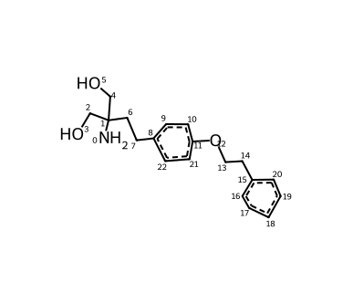 NC(CO)(CO)CCc1ccc(OCCc2ccccc2)cc1